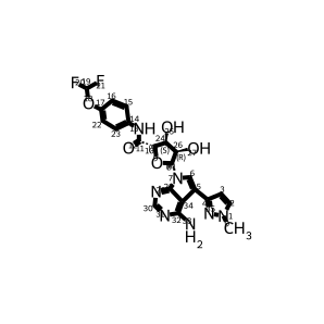 Cn1ccc(-c2cn([C@@H]3O[C@H](C(=O)Nc4ccc(OC(F)F)cc4)[C@@H](O)[C@H]3O)c3ncnc(N)c23)n1